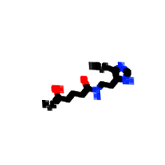 C=C(O)CCCC(=O)NCCc1[nH]cnc1C(=O)O